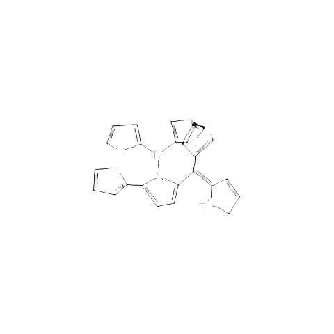 C1=C/C(=C(\c2ccsc2)c2ccc(-c3cccs3)n2B(c2cccs2)c2cccs2)NC1